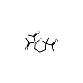 CC(=O)C1(C)CCC[Si](C(C)=O)(C(C)=O)O1